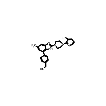 OCc1ccc(-c2cc(C(F)(F)F)cc3nc(N4CCN(c5ncccc5C(F)(F)F)CC4)[nH]c23)cc1